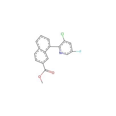 COC(=O)c1ccc2cccc(-c3ncc(F)cc3Cl)c2c1